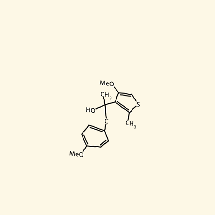 COc1ccc(CC(C)(O)c2c(OC)csc2C)cc1